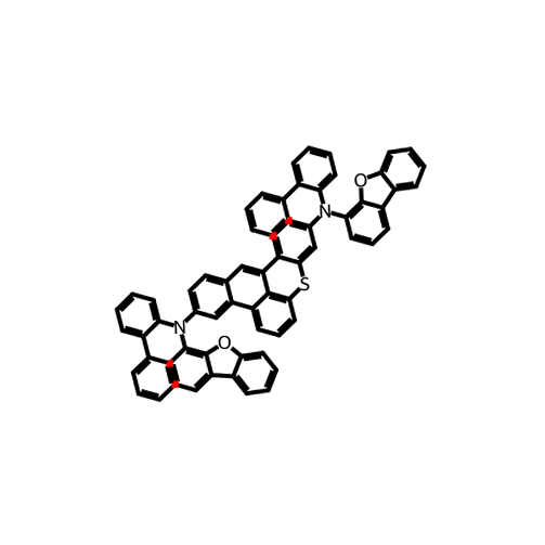 c1ccc(-c2ccccc2N(c2ccc3c(c2)Sc2cccc4c2c-3cc2ccc(N(c3ccccc3-c3ccccc3)c3cccc5c3oc3ccccc35)cc24)c2cccc3c2oc2ccccc23)cc1